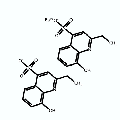 CCc1cc(S(=O)(=O)[O-])c2cccc(O)c2n1.CCc1cc(S(=O)(=O)[O-])c2cccc(O)c2n1.[Ba+2]